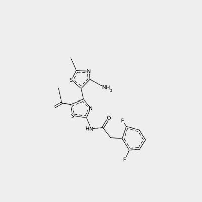 C=C(C)c1sc(NC(=O)Cc2c(F)cccc2F)nc1-c1sc(C)nc1N